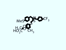 CSc1ccc(Cc2nc(-c3ccc(C(F)(F)F)cc3)sc2CSc2ccc(OC(C)(C)C(=O)O)c(C)c2)cc1